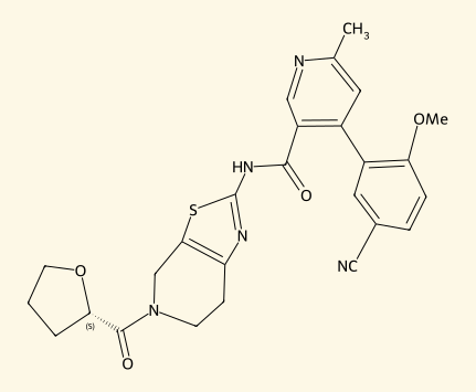 COc1ccc(C#N)cc1-c1cc(C)ncc1C(=O)Nc1nc2c(s1)CN(C(=O)[C@@H]1CCCO1)CC2